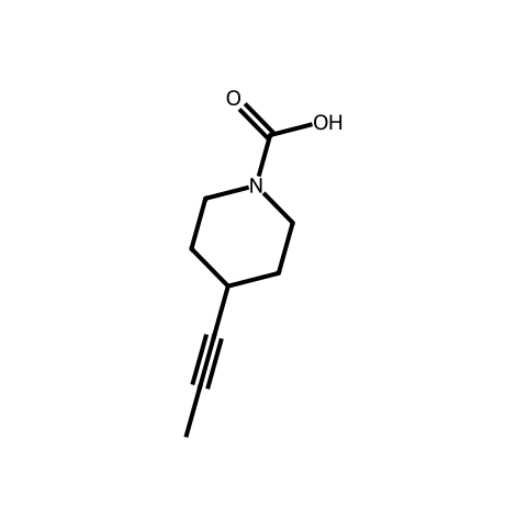 CC#CC1CCN(C(=O)O)CC1